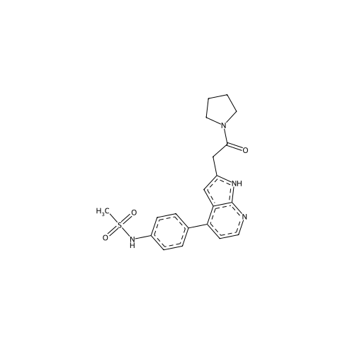 CS(=O)(=O)Nc1ccc(-c2ccnc3[nH]c(CC(=O)N4CCCC4)cc23)cc1